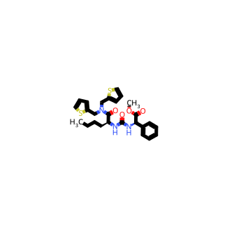 CCCC[C@H](NC(=O)N[C@@H](C(=O)OC)c1ccccc1)C(=O)N(Cc1cccs1)Cc1cccs1